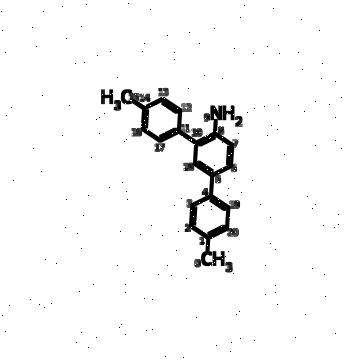 Cc1ccc(-c2ccc(N)c(-c3ccc(C)cc3)c2)cc1